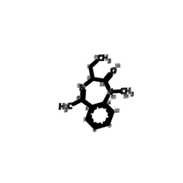 CCC1N=C(C)c2ccccc2N(C)C1=O